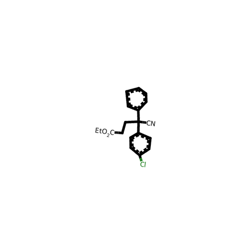 CCOC(=O)CCC(C#N)(c1ccccc1)c1ccc(Cl)cc1